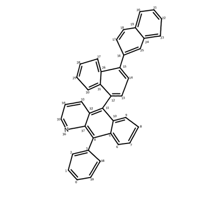 c1ccc(-c2c3ccccc3c(-c3ccc(-c4ccc5ccccc5c4)c4ccccc34)c3cccnc23)cc1